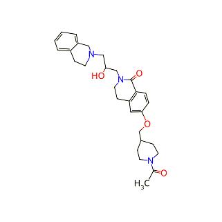 CC(=O)N1CCC(COc2ccc3c(c2)CCN(CC(O)CN2CCc4ccccc4C2)C3=O)CC1